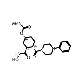 CNC(=O)O[C@@H]1CC[C@H](C(=O)N2CCN(c3ccccc3)CC2)[C@@H](C(=O)NO)C1